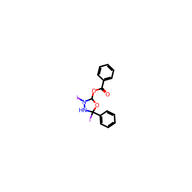 O=C(OC1OC(I)(c2ccccc2)NN1I)c1ccccc1